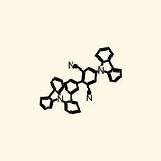 N#Cc1cc(-n2c3ccccc3c3ccccc32)cc(C#N)c1-c1cccc(-c2ccccc2-n2c3ccccc3c3ccccc32)c1